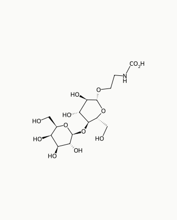 O=C(O)NCCO[C@@H]1O[C@H](CO)[C@@H](O[C@@H]2O[C@H](CO)[C@H](O)[C@H](O)[C@H]2O)[C@H](O)[C@H]1O